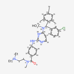 CCN(CC)CCN(C)C(=O)c1ccc(Nc2nccc(N(C(=O)O)C(c3cccc(Cl)c3)c3c(C)cc(C)cc3C)n2)cc1